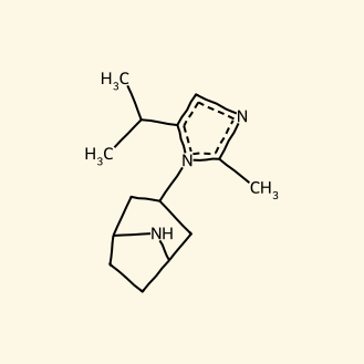 Cc1ncc(C(C)C)n1C1CC2CCC(C1)N2